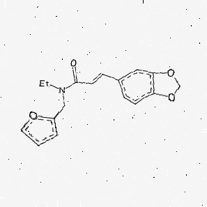 CCN(Cc1ccco1)C(=O)/C=C/c1ccc2c(c1)OCO2